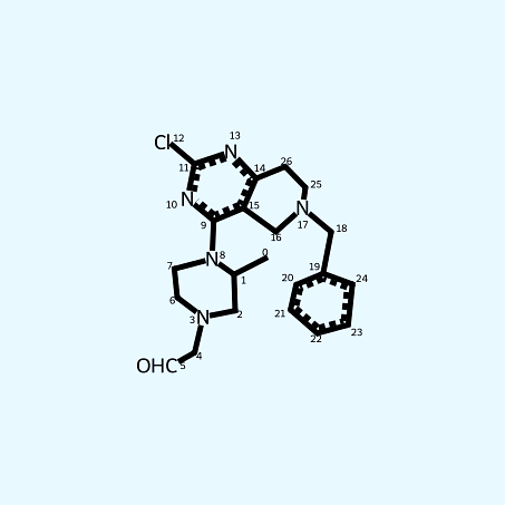 CC1CN(CC=O)CCN1c1nc(Cl)nc2c1CN(Cc1ccccc1)CC2